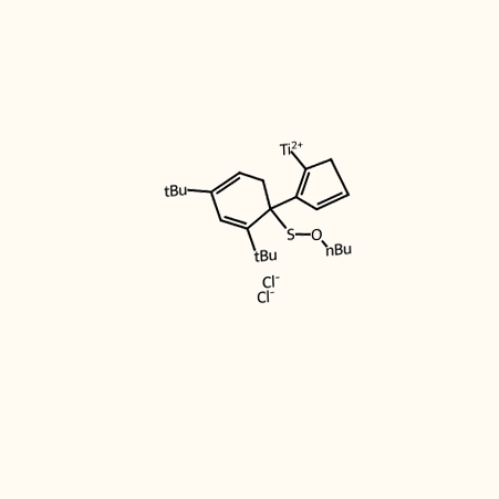 CCCCOSC1(C2=[C]([Ti+2])CC=C2)CC=C(C(C)(C)C)C=C1C(C)(C)C.[Cl-].[Cl-]